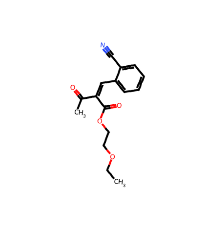 CCOCCOC(=O)/C(=C\c1ccccc1C#N)C(C)=O